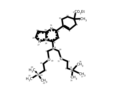 CCOC(=O)C1(C)CC=C(c2cc(N(COCC[Si](C)(C)C)COCC[Si](C)(C)C)n3nccc3n2)CC1